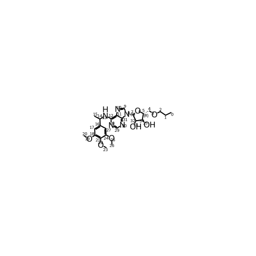 CCCOC[C@H]1O[C@@H](n2cnc3c(NC(C)c4cc(OC)c(OC)c(OC)c4)ncnc32)C(O)C1O